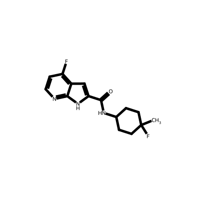 CC1(F)CCC(NC(=O)c2cc3c(F)ccnc3[nH]2)CC1